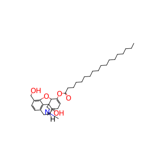 CCCCCCCCCCCCCCCCCC(=O)OC1=CC[C@@]2(O)[C@H]3Cc4ccc(CO)c5c4C2(CCN3C)C1O5